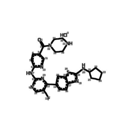 Cl.O=C(c1ccc(Nc2ncc(F)c(-c3ccc4nc(NC5CCCC5)sc4c3)n2)nc1)N1CCNCC1